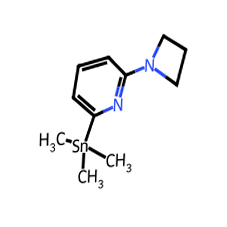 [CH3][Sn]([CH3])([CH3])[c]1cccc(N2CCC2)n1